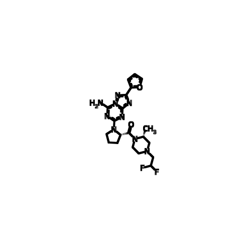 C[C@@H]1CN(CC(F)F)CCN1C(=O)[C@@H]1CCCN1c1nc(N)n2nc(-c3ccco3)nc2n1